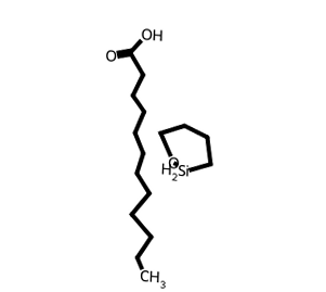 C1CC[SiH2]OC1.CCCCCCCCCCCC(=O)O